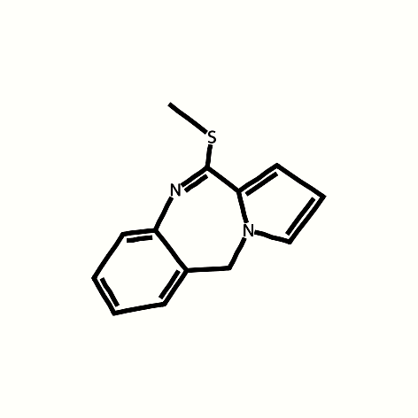 CSC1=Nc2ccccc2Cn2cccc21